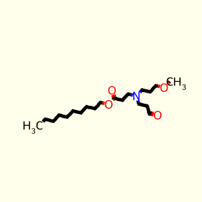 CCCCCCCCCCOC(=O)CCN(CCC=O)CCCOC